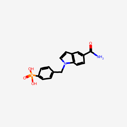 NC(=O)c1ccc2c(ccn2Cc2ccc(P(=O)(O)O)cc2)c1